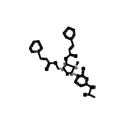 CC(=O)Nc1ccn([C@@H]2S[C@H](COC(=O)C=Cc3ccccc3)[C@@H](OC(=O)C=Cc3ccccc3)[C@@H]2F)c(=O)n1